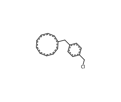 ClCc1ccc(Cc2ccccccccc2)cc1